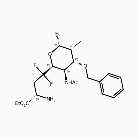 CCOC(=O)[C@@H](N)CC(F)(F)[C@H]1O[C@H](CC)[C@H](C)[C@H](OCc2ccccc2)[C@H]1NC(C)=O